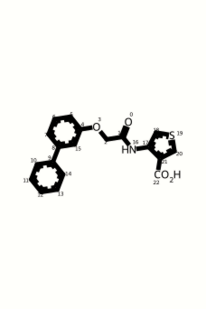 O=C(COc1cccc(-c2ccccc2)c1)Nc1cscc1C(=O)O